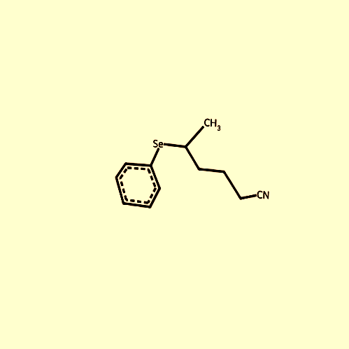 CC(CCCC#N)[Se]c1ccccc1